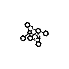 c1ccc(-c2ccc3c(c2)C2(c4ccccc4-n4c5ccccc5c5cccc2c54)c2cc(-c4ccccc4)cc4c2N3Cc2ccccc2-4)cc1